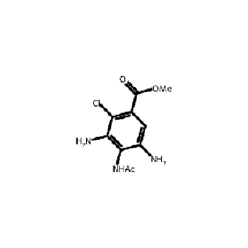 COC(=O)c1cc(N)c(NC(C)=O)c(N)c1Cl